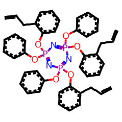 C=CCc1ccccc1OP1(Oc2ccccc2)=NP(Oc2ccccc2)(Oc2ccccc2CC=C)=NP(Oc2ccccc2)(Oc2ccccc2CC=C)=N1